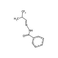 CC(C=NNC(=O)c1ccccc1)C(F)(F)F